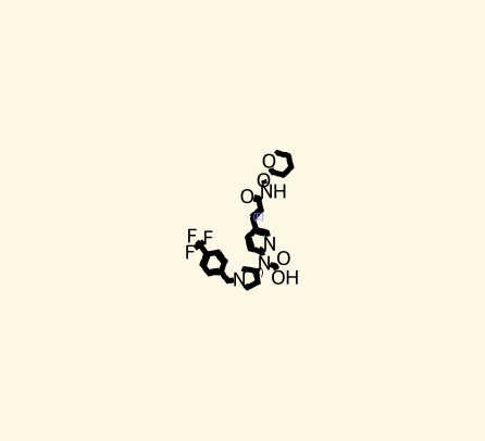 O=C(/C=C/c1ccc(N(C(=O)O)[C@@H]2CCN(Cc3ccc(C(F)(F)F)cc3)C2)nc1)NOC1CCCCO1